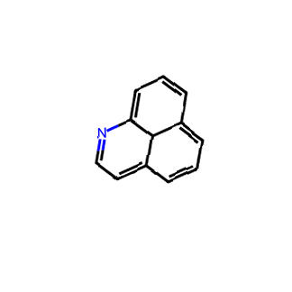 C1=CC2=CC=CC3=CC=NC(=C1)C23